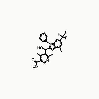 COC(=O)c1cnc(C)c(C(O)c2cc3c(C)cc(C(F)(F)F)cc3n2-c2ccccc2)c1C